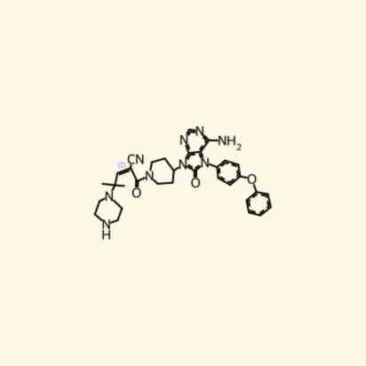 CC(C)(/C=C(/C#N)C(=O)N1CCC(n2c(=O)n(-c3ccc(Oc4ccccc4)cc3)c3c(N)ncnc32)CC1)N1CCNCC1